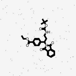 CCOC(=O)c1ccc(C(CCNC(=O)OC(C)(C)C)N2C(=O)c3ccccc3C2=O)cc1